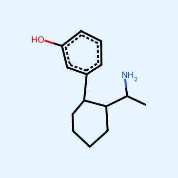 CC(N)C1CCCCC1c1cccc(O)c1